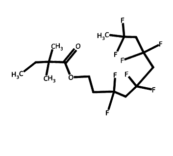 CCC(C)(C)C(=O)OCCC(F)(F)CC(F)(F)CC(F)(F)CC(C)(F)F